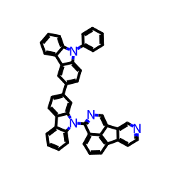 c1ccc(-n2c3ccccc3c3cc(-c4ccc5c6ccccc6n(-c6ncc7c8c(cccc68)-c6ccncc6-7)c5c4)ccc32)cc1